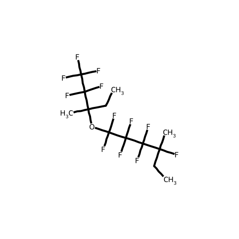 CCC(C)(F)C(F)(F)C(F)(F)C(F)(F)OC(C)(CC)C(F)(F)C(F)(F)F